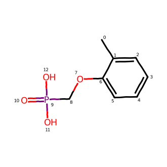 Cc1ccccc1OCP(=O)(O)O